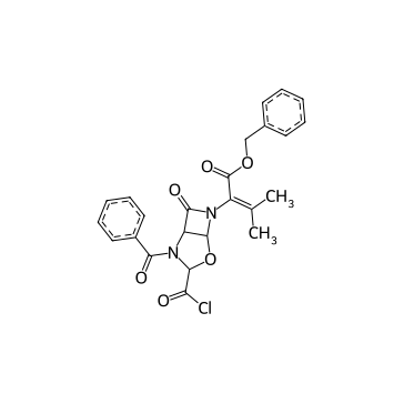 CC(C)=C(C(=O)OCc1ccccc1)N1C(=O)C2C1OC(C(=O)Cl)N2C(=O)c1ccccc1